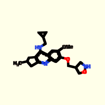 COc1cc2c(NCC3CC3)c3c(nc2cc1OCC1CNOC1)CC(C)C3